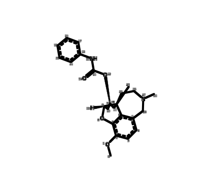 COc1ccc2c3c1O[C@H]1C[C@@H](OC(=O)Nc4ccccc4)C(C)[C@@]31CCN(C)C2